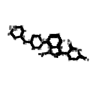 Cn1nc(C2CCC(=O)NC2=O)c2cccc(N3CCC(CC4CCNCC4)CC3)c21